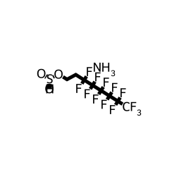 N.O=[SH](=O)OCCC(F)(F)C(F)(F)C(F)(F)C(F)(F)C(F)(F)C(F)(F)F